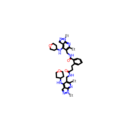 CCc1nc2c(cnn2CC)c(NC2CCOCC2)c1CNC(=O)CCc1ccccc1C(=O)NCc1c(CC)nc2c(cnn2CC)c1NC1CCOCC1